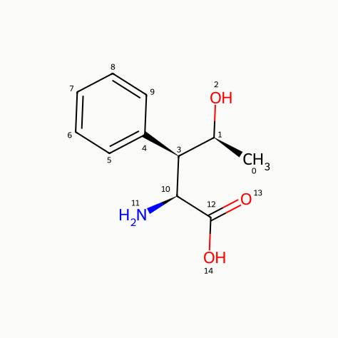 C[C@H](O)[C@H](c1ccccc1)[C@H](N)C(=O)O